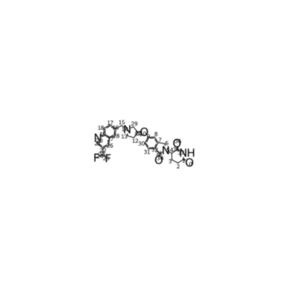 O=C1CCC(N2Cc3cc(O[C@H]4CCN(Cc5ccc6ncc(C(F)F)cc6c5)C4)ccc3C2=O)C(=O)N1